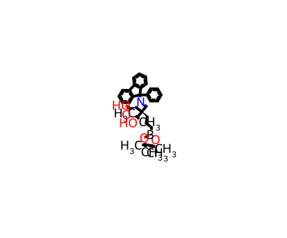 CC1(C)OB(CCC[C@]2(C(C)(C)O)CN(C3(c4ccccc4)c4ccccc4-c4ccccc43)[C@@H]2C(=O)O)OC1(C)C